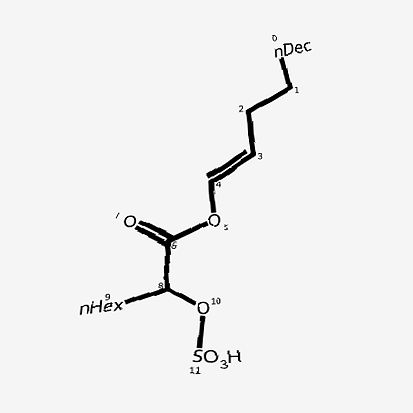 CCCCCCCCCCCCC=COC(=O)C(CCCCCC)OS(=O)(=O)O